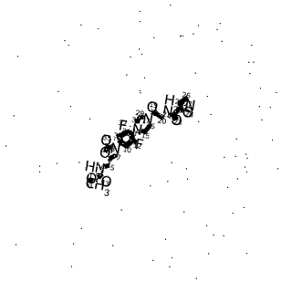 COC(=O)NC[C@H]1CN(c2cc(F)c(N3CCN(C(=O)CNC(=O)c4ccno4)CC3)c(F)c2)C(=O)O1